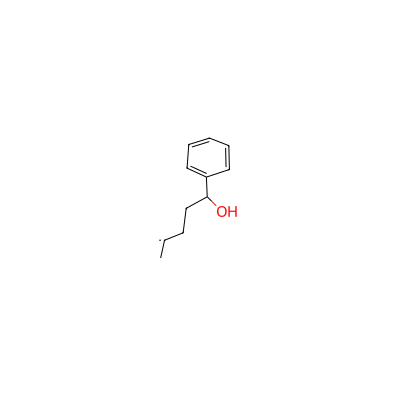 C[CH]CCC(O)c1ccccc1